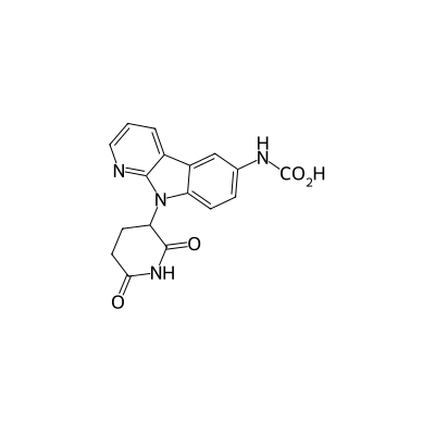 O=C(O)Nc1ccc2c(c1)c1cccnc1n2C1CCC(=O)NC1=O